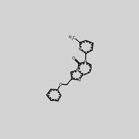 Cc1cccc(-n2ccc3nc(COc4ccccc4)cn3c2=O)n1